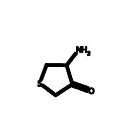 NC1CSCC1=O